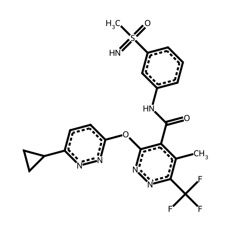 Cc1c(C(F)(F)F)nnc(Oc2ccc(C3CC3)nn2)c1C(=O)Nc1cccc(S(C)(=N)=O)c1